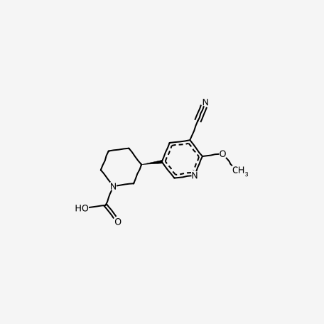 COc1ncc([C@@H]2CCCN(C(=O)O)C2)cc1C#N